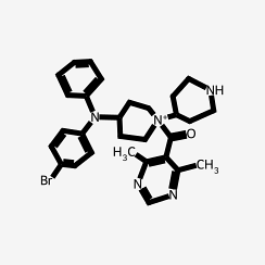 Cc1ncnc(C)c1C(=O)[N+]1(C2CCNCC2)CCC(N(c2ccccc2)c2ccc(Br)cc2)CC1